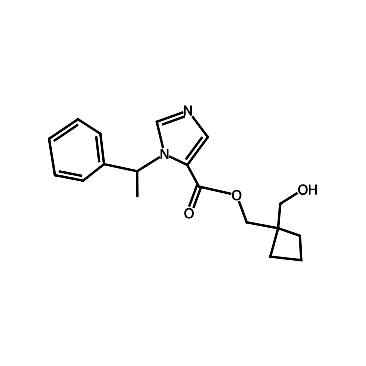 CC(c1ccccc1)n1cncc1C(=O)OCC1(CO)CCC1